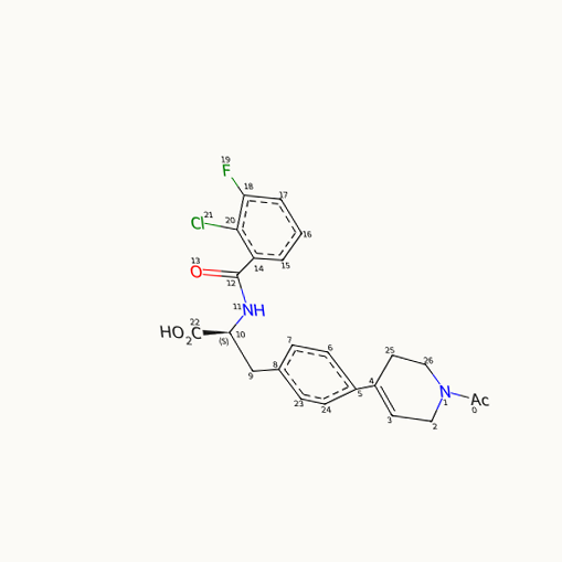 CC(=O)N1CC=C(c2ccc(C[C@H](NC(=O)c3cccc(F)c3Cl)C(=O)O)cc2)CC1